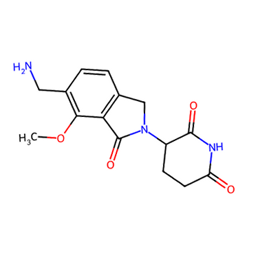 COc1c(CN)ccc2c1C(=O)N(C1CCC(=O)NC1=O)C2